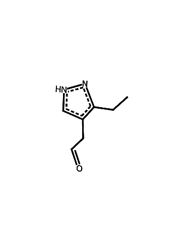 CCc1n[nH]cc1CC=O